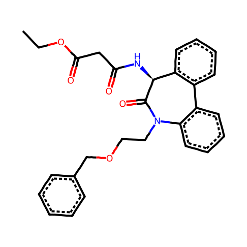 CCOC(=O)CC(=O)N[C@@H]1C(=O)N(CCOCc2ccccc2)c2ccccc2-c2ccccc21